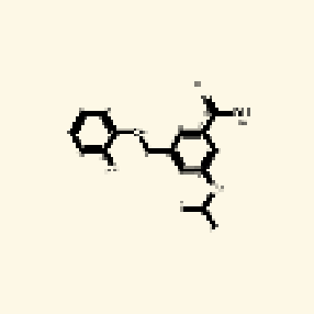 CC(C)Oc1cc(COc2ccccc2F)cc(C(=O)O)c1